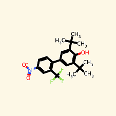 CC(C)(C)c1cc(-c2ccc([N+](=O)[O-])cc2C(F)(F)F)cc(C(C)(C)C)c1O